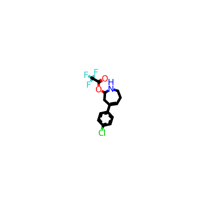 O=C(OC1CC(c2ccc(Cl)cc2)=CCCN1)C(F)(F)F